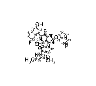 CCc1c(F)ccc2cc(O)cc(-c3ncc4c(N5CCC(COC)(C(=O)n6ccc(C)n6)C5)nc(OC[C@@]56CCCN5C[C@H](F)C6)nc4c3F)c12